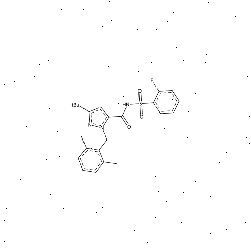 Cc1cccc(C)c1Cn1nc(C(C)(C)C)cc1C(=O)NS(=O)(=O)c1ccccc1F